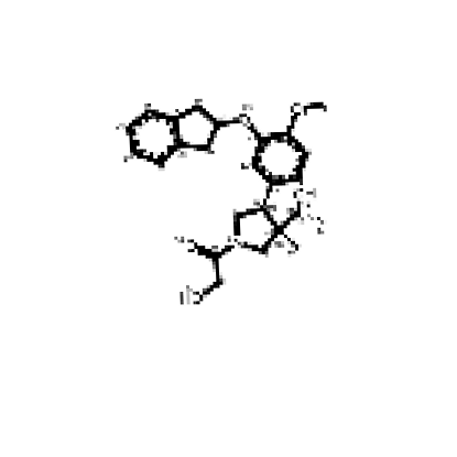 COc1ccc([C@@H]2CN(C(=O)CO)C[C@@]2(C)[C@@H](C)O)cc1OC1Cc2ccccc2C1